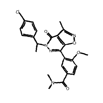 COc1ccc(C(=O)N(C)C)cc1-c1nn(C(C)c2ccc(Cl)cc2)c(=O)c2c(C)noc12